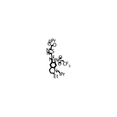 CCCOC(=O)c1nnc(N=Nc2cc3c(cc2NS(=O)(=O)CC(F)(F)F)N(CC(C)C)C(CC)CC3)s1